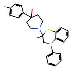 CC1(N2CCC(O)(c3ccc(F)cc3)CC2)CN(c2ccccc2)c2ccccc2S1